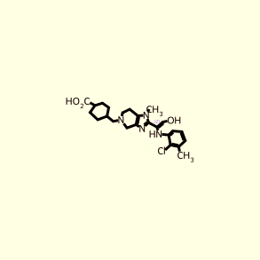 Cc1cccc(N/C(=C\O)c2nc3c(n2C)CCN(CC2CCC(C(=O)O)CC2)C3)c1Cl